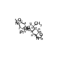 CC(C)c1cc2ncoc2cc1OCC(C)c1cc2ocnc2cc1O